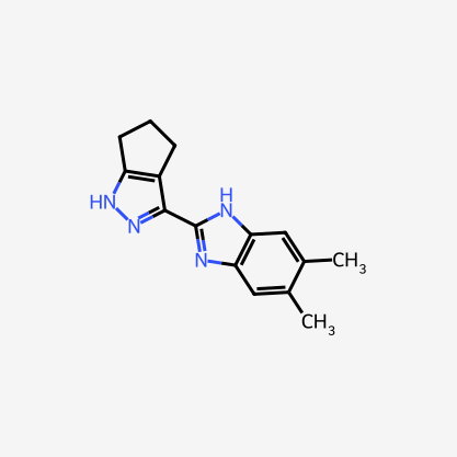 Cc1cc2nc(-c3n[nH]c4c3CCC4)[nH]c2cc1C